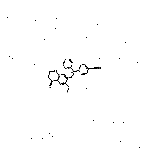 CCc1cc2c(cc1O[C@@H](c1ccncc1)c1ccc(C#N)cc1)OCCC2=O